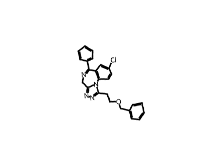 Clc1ccc2c(c1)C(c1ccccc1)=NCc1nnc(CCOCc3ccccc3)n1-2